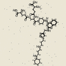 NC(CCC(=O)NC(COC(=O)CCC(N)C(=O)O)C(=O)N1CCC(Nc2nc(NCc3cn(CCCNCCCNC4CCCCC4)nn3)nc3ccccc23)CC1)C(=O)O